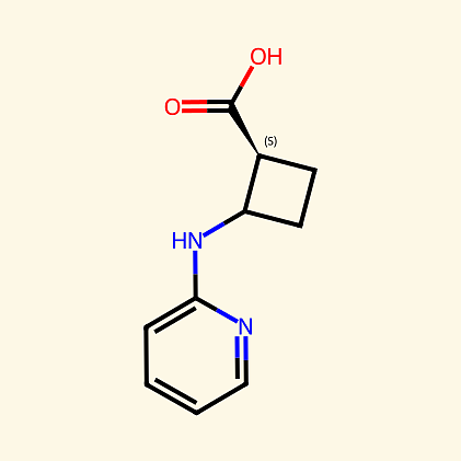 O=C(O)[C@H]1CCC1Nc1ccccn1